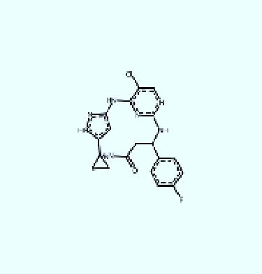 CNC(=O)CC(Nc1ncc(Cl)c(Nc2cc(C3CC3)[nH]n2)n1)c1ccc(F)cc1